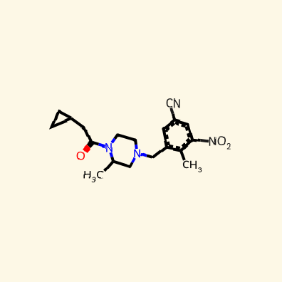 Cc1c(CN2CCN(C(=O)CC3CC3)C(C)C2)cc(C#N)cc1[N+](=O)[O-]